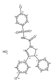 Cl.O=C(NS(=O)(=O)c1ccc(Cl)cc1)N1CC(c2ccccc2)C(c2ccc(Cl)cc2)=N1